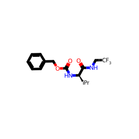 CC(C)[C@@H](NC(=O)OCc1ccccc1)C(=O)NCC(F)(F)F